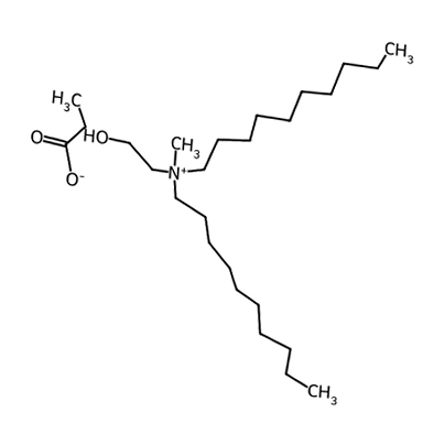 CCC(=O)[O-].CCCCCCCCCC[N+](C)(CCO)CCCCCCCCCC